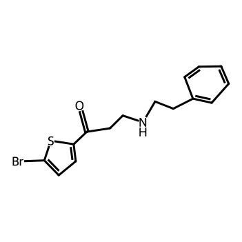 O=C(CCNCCc1ccccc1)c1ccc(Br)s1